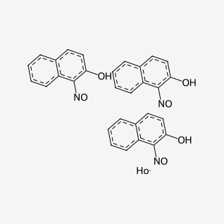 O=Nc1c(O)ccc2ccccc12.O=Nc1c(O)ccc2ccccc12.O=Nc1c(O)ccc2ccccc12.[Ho]